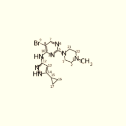 CN1CCN(c2ncc(Br)c(Nc3cc(C4CC4)[nH]n3)n2)CC1